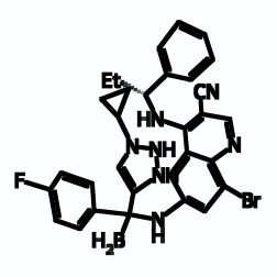 BC(Nc1cc(Br)c2ncc(C#N)c(N[C@H](CC)c3ccccc3)c2c1)(C1=CN(C2CC2)NN1)c1ccc(F)cc1